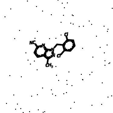 Cc1nn(Cc2c(Cl)cccc2Cl)c2nc(C#N)ccc12